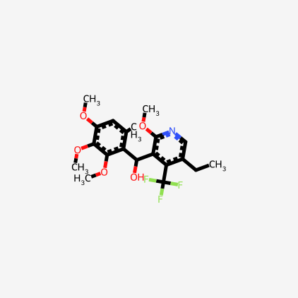 CCc1cnc(OC)c(C(O)c2c(C)cc(OC)c(OC)c2OC)c1C(F)(F)F